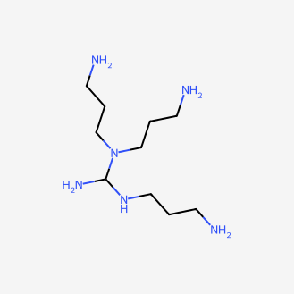 NCCCNC(N)N(CCCN)CCCN